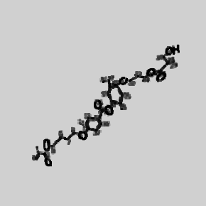 C=CC(=O)OCCCCOc1ccc(C(=O)Oc2ccc(OCCCOC(=O)C(=C)CO)c(CC)c2)cc1